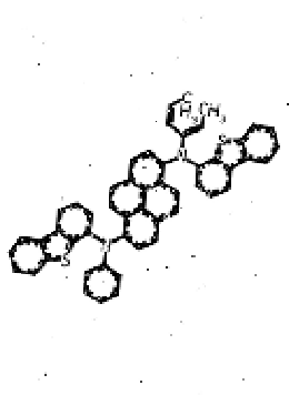 C/C=C\C(=C/C)N(c1ccc2ccc3c(N(c4ccccc4)c4cccc5c4sc4ccccc45)ccc4ccc1c2c43)c1cccc2c1sc1ccccc12